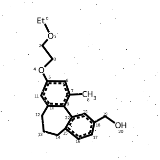 CCOCCOc1cc(C)c2c(c1)CCCc1ccc(CO)cc1-2